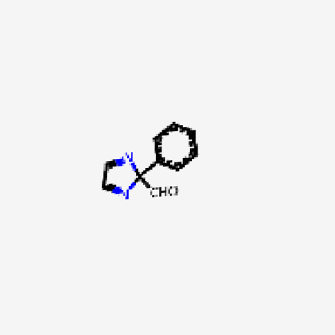 O=CC1(c2ccccc2)N=CC=N1